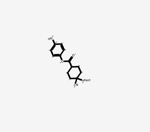 CCCCCC1(C#N)CCC(C(=O)Oc2ccc(CCC)cc2)CC1